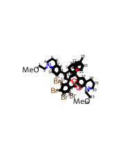 COCCN1CCCc2cc(C(=CC3(C=C(c4ccc(C)cc4)c4ccc5c(c4)CCCN5CCOC)OC(=O)c4c(Br)c(Br)c(Br)c(Br)c43)c3ccc(C)cc3)ccc21